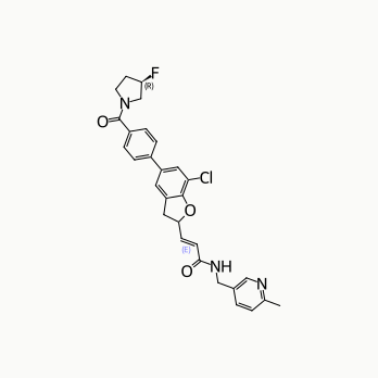 Cc1ccc(CNC(=O)/C=C/C2Cc3cc(-c4ccc(C(=O)N5CC[C@@H](F)C5)cc4)cc(Cl)c3O2)cn1